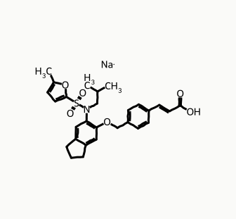 Cc1ccc(S(=O)(=O)N(CC(C)C)c2cc3c(cc2OCc2ccc(C=CC(=O)O)cc2)CCC3)o1.[Na]